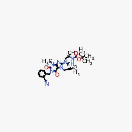 CC#CCn1c(N(C)C[C@H](C)NC(=O)OC(C)(C)C)nc2c1c(=O)n(Cc1ccccc1C#N)c(=O)n2C